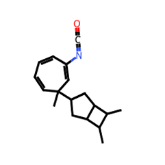 CC1C(C)C2CC(C3(C)C=CC=CC(N=C=O)=C3)CC12